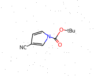 CC(C)(C)OC(=O)n1ccc(C#N)c1